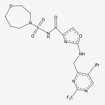 CC(C)c1cnc(C(F)(F)F)nc1CNc1nc(C(=O)NS(=O)(=O)N2CCCOCC2)co1